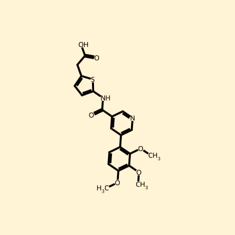 COc1ccc(-c2cncc(C(=O)Nc3ccc(CC(=O)O)s3)c2)c(OC)c1OC